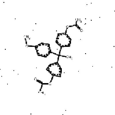 COc1ccc(C(C)(c2ccc(OC(C)=O)cc2)c2ccc(OC(C)=O)cc2)cc1